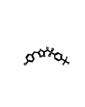 O=S(=O)(Nc1nnc(Cc2ccc(Cl)cc2)s1)c1ccc(C(F)(F)F)nc1